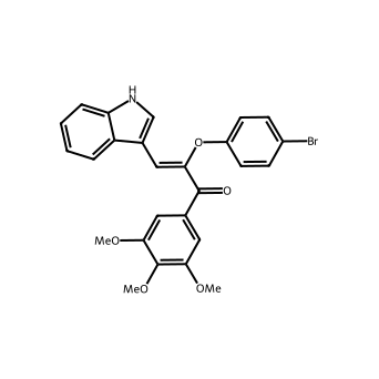 COc1cc(C(=O)/C(=C/c2c[nH]c3ccccc23)Oc2ccc(Br)cc2)cc(OC)c1OC